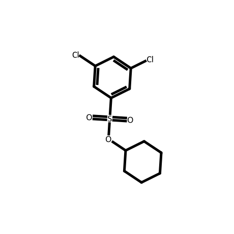 O=S(=O)(OC1CCCCC1)c1cc(Cl)cc(Cl)c1